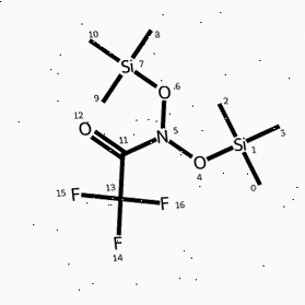 C[Si](C)(C)ON(O[Si](C)(C)C)C(=O)C(F)(F)F